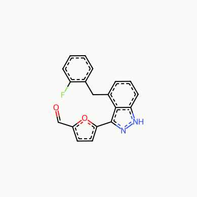 O=Cc1ccc(-c2n[nH]c3cccc(Cc4ccccc4F)c23)o1